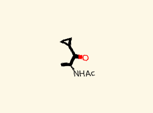 CC(=O)N[C@@H](C)C(=O)C1CC1